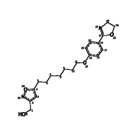 OCc1cc(CCCCCCCOc2ccc(C3=NCCO3)cc2)on1